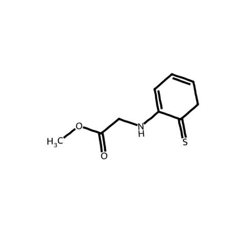 COC(=O)CNC1=CC=CCC1=S